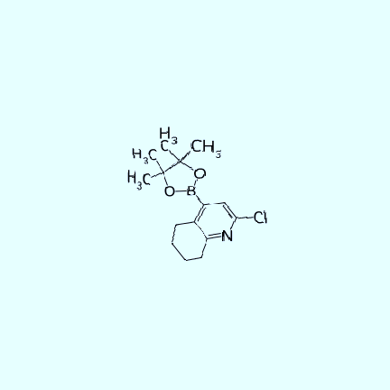 CC1(C)OB(c2cc(Cl)nc3c2CCCC3)OC1(C)C